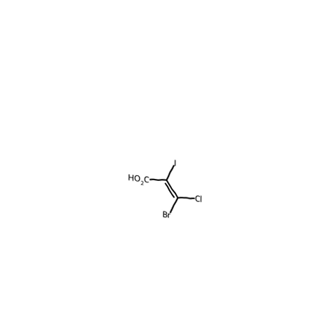 O=C(O)C(I)=C(Cl)Br